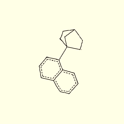 [CH]1CC2CCC1(c1cccc3ccccc13)C2